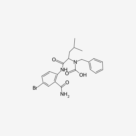 CC(C)CC(C(=O)Nc1ccc(Br)cc1C(N)=O)N(Cc1ccccc1)C(=O)O